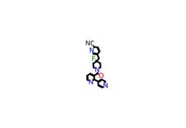 N#Cc1ccc(CC2(F)CCN(C(=O)c3cccnc3-c3ccncc3)CC2)cn1